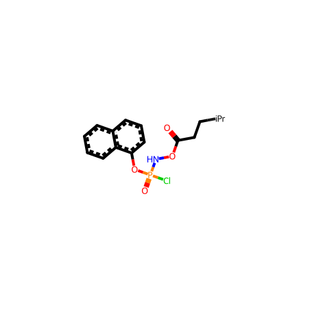 CC(C)CCC(=O)ONP(=O)(Cl)Oc1cccc2ccccc12